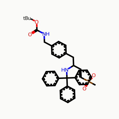 CC(C)(C)OC(=O)NCc1ccc(CC(/C=C/S(C)(=O)=O)NC(c2ccccc2)(c2ccccc2)c2ccccc2)cc1